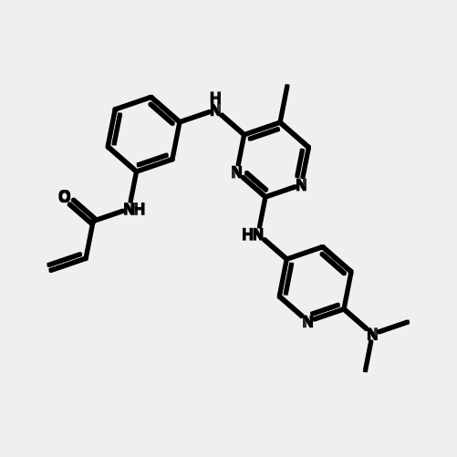 C=CC(=O)Nc1cccc(Nc2nc(Nc3ccc(N(C)C)nc3)ncc2C)c1